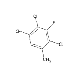 Cc1cc(Cl)c(Cl)c(F)c1Cl